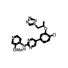 COc1cnccc1Nc1ncc(-c2ccc(Cl)c(OC(C)Cn3cnnn3)c2)cn1